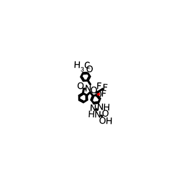 COc1cccc(CN2C(=O)c3ccccc3C2(OC(=O)C(F)(F)F)c2ccc3[nH]c(NC(=O)O)nc3c2)c1